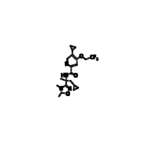 CC1ON=C(C(C)(CC2CC2)NC(=O)c2cc(OCC(F)(F)F)c(C3CC3)cn2)N1C